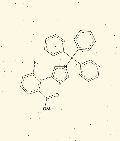 COC(=O)c1cccc(F)c1-c1cn(C(c2ccccc2)(c2ccccc2)c2ccccc2)cn1